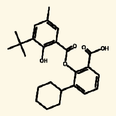 Cc1cc(C(=O)Oc2c(C(=O)O)cccc2C2CCCCC2)c(O)c(C(C)(C)C)c1